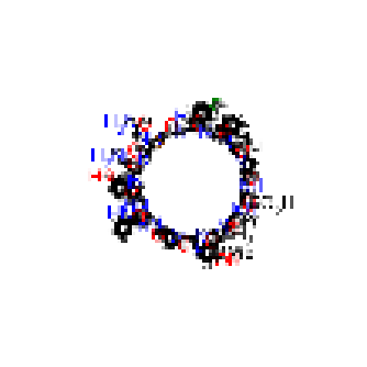 CCCC[C@H]1C(=O)N2CCC[C@@H]2C(=O)N[C@@H](CC(=O)O)C(=O)N[C@@H](C(C)C)C(=O)N(C)[C@@H](CCOC)C(=O)N[C@@H](Cc2ccc(O)cc2)C(=O)N2CCC[C@@H]2C(=O)N[C@@H](Cc2c[nH]c3ccccc23)C(=O)N[C@@H](Cc2ccc(O)cc2)C(=O)N[C@@H](CCCN)C(=O)N[C@H](C(=O)NCC(N)=O)CSCC(=O)N[C@@H](Cc2ccc(F)cc2)C(=O)N(C)[C@@H](Cc2ccccc2)C(=O)N1C